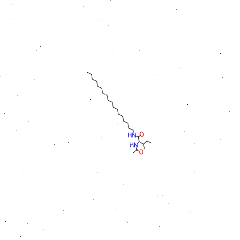 CCCCCCCCCCCCCCCCCCNC(=O)C(NC(C)=O)C(C)CC